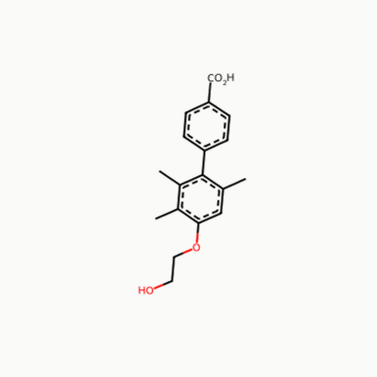 Cc1cc(OCCO)c(C)c(C)c1-c1ccc(C(=O)O)cc1